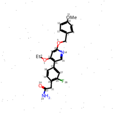 CCOc1cc(OCc2ccc(OC)cc2)ncc1-c1ccc(CC(N)=O)c(F)c1